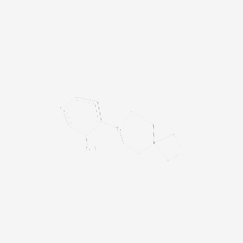 Nc1cnccc1N1CCC2(CC1)COC2